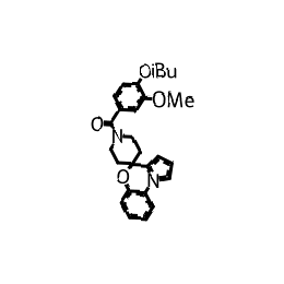 COc1cc(C(=O)N2CCC3(CC2)Oc2ccccc2-n2cccc23)ccc1OCC(C)C